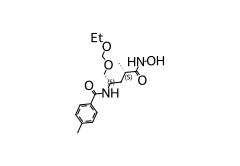 CCOCOC[C@H](C[C@H](C)C(=O)NO)NC(=O)c1ccc(C)cc1